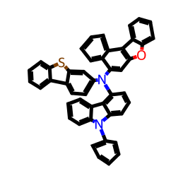 c1ccc(-n2c3ccccc3c3c(N(c4ccc5c(c4)sc4ccccc45)c4cc5oc6ccccc6c5c5ccccc45)cccc32)cc1